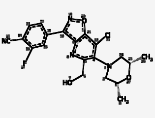 C[C@@H]1CN(c2c(CO)nc3c(-c4ccc(C#N)c(F)c4)noc3c2Cl)C[C@H](C)O1